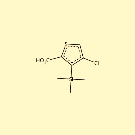 C[Si](C)(C)c1c(Cl)csc1C(=O)O